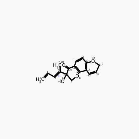 C=C/C=C(\C)C1(O)COc2c(ccc3c2C=CCO3)C1=O